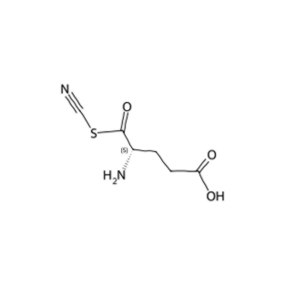 N#CSC(=O)[C@@H](N)CCC(=O)O